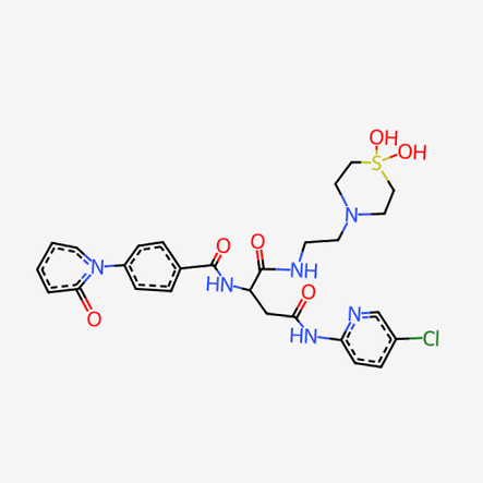 O=C(CC(NC(=O)c1ccc(-n2ccccc2=O)cc1)C(=O)NCCN1CCS(O)(O)CC1)Nc1ccc(Cl)cn1